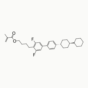 C=C(C)C(=O)OCCCCc1c(F)cc(-c2ccc([C@H]3CC[C@H](C4CCCCC4)CC3)cc2)cc1F